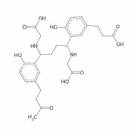 CC(=O)CCc1ccc(O)c(C(CCC(NCC(=O)O)c2cc(CCC(=O)O)ccc2O)NCC(=O)O)c1